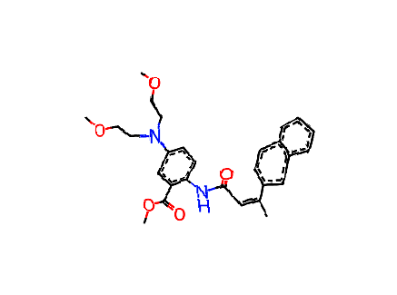 COCCN(CCOC)c1ccc(NC(=O)/C=C(/C)c2ccc3ccccc3c2)c(C(=O)OC)c1